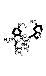 CN(C)CCN(C)c1ccc([N+](=O)[O-])cc1S(=O)(=O)N(C)N=Cc1cnn2ccc(C#N)cc12